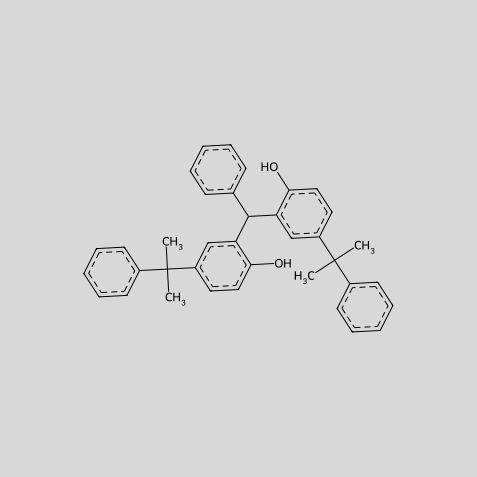 CC(C)(c1ccccc1)c1ccc(O)c(C(c2ccccc2)c2cc(C(C)(C)c3ccccc3)ccc2O)c1